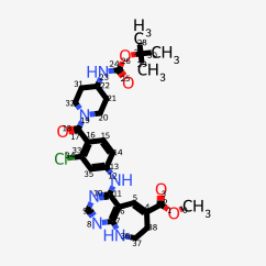 COC(=O)C1=Cc2c(ncnc2Nc2ccc(C(=O)N3CCC(NC(=O)OC(C)(C)C)CC3)c(Cl)c2)NCC1